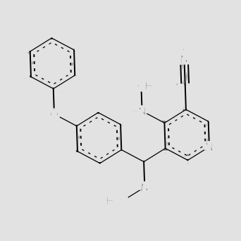 CNc1c(C#N)cncc1C(NC)c1ccc(Oc2ccccc2)cc1